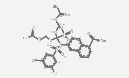 CNC(=O)c1cccc2cc(N(C(OCOC(=O)C(C)(C)C)(OCOC(=O)C(C)(C)C)P(=O)(O)O)S(=O)(=O)c3cc(Cl)cc(Cl)c3)ccc12